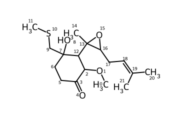 COC1C(=O)CCC(O)(CSC)C1C1(C)OC1CC=C(C)C